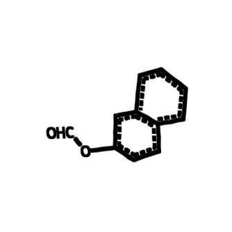 O=COc1ccc2ccccc2c1